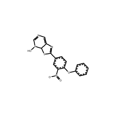 O=[N+]([O-])c1cc(C2=NC3=CN=CN(O)C3S2)ccc1Oc1ccccc1